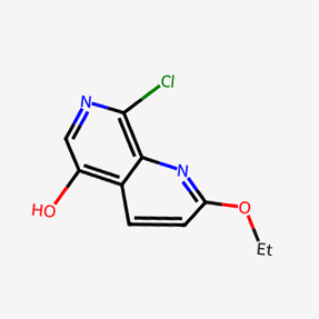 CCOc1ccc2c(O)cnc(Cl)c2n1